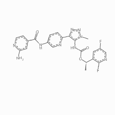 C[C@@H](OC(=O)Nc1c(-c2ccc(NC(=O)c3ccnc(N)c3)cn2)nnn1C)c1cc(F)cnc1F